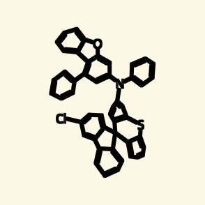 Clc1ccc2c(c1)-c1ccccc1C21c2ccccc2Sc2cc(N(c3ccccc3)c3cc(-c4ccccc4)c4c(c3)oc3ccccc34)ccc21